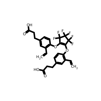 C=Cc1cc(CCC(=O)O)ccc1OC1=C(Oc2ccc(CCC(=O)O)cc2C=C)C(F)(F)C(F)(F)C1(F)F